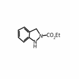 CCOC(=O)N1Cc2ccccc2N1